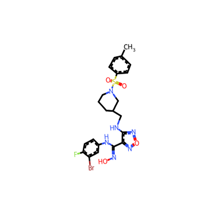 Cc1ccc(S(=O)(=O)N2CCCC(CNc3nonc3/C(=N/O)Nc3ccc(F)c(Br)c3)C2)cc1